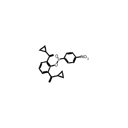 C=C(c1cccc(C(=C)C2CC2)c1OS(=O)c1ccc([N+](=O)[O-])cc1)C1CC1